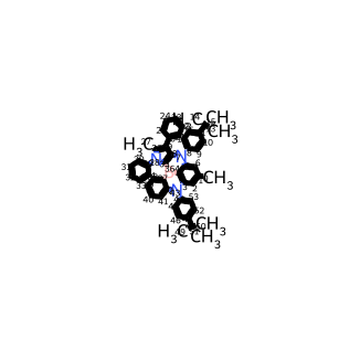 Cc1cc2c3c(c1)N(c1ccc(C(C)(C)C)cc1)c1c(-c4ccccc4)c(C)n(-c4ccccc4)c1B3c1ccccc1N2c1ccc(C(C)(C)C)cc1